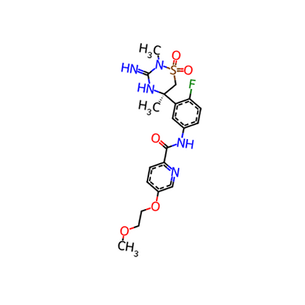 COCCOc1ccc(C(=O)Nc2ccc(F)c([C@]3(C)CS(=O)(=O)N(C)C(=N)N3)c2)nc1